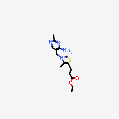 CCOC(=O)CCc1sc[n+](Cc2cnc(C)nc2N)c1C